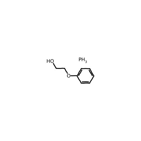 OCCOc1ccccc1.P